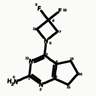 Nc1nc2c(c(N3CC(F)(F)C3)n1)CCC2